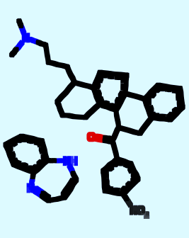 C1=CNc2ccccc2N=C1.CN(C)CCCC1CCCc2c1ccc1c2C(C(=O)c2ccc([N+](=O)[O-])cc2)Cc2ccccc2-1